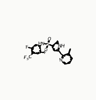 Cc1cccnc1-c1cc(S(=O)(=O)Nc2cc(F)c(C(F)(F)F)cc2F)c[nH]1